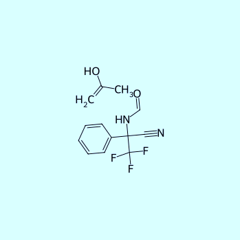 C=C(C)O.N#CC(NC=O)(c1ccccc1)C(F)(F)F